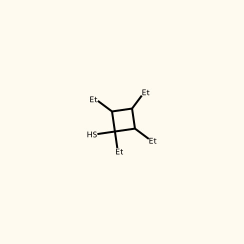 CCC1C(CC)C(S)(CC)C1CC